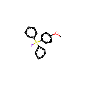 COc1ccc(S(I)(c2ccccc2)c2ccccc2)cc1